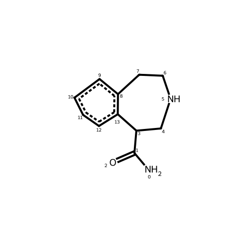 NC(=O)C1CNCCc2ccccc21